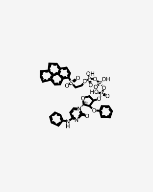 O=c1nc(Nc2ccccc2)ccn1[C@@H]1OCC(OP(=O)(O)OP(=O)(O)OP(=O)(O)OCCS(=O)(=O)c2ccc3ccc4cccc5ccc2c3c45)C1Oc1ccccc1